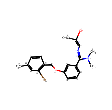 CN(C)/C(=N\C=C(\O)C=O)c1cccc(OCc2ccc(C(F)(F)F)cc2Br)c1